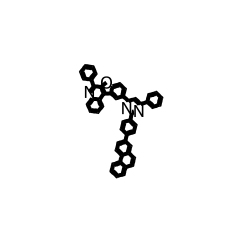 c1ccc(-c2cc(-c3ccc4oc5c(-c6ccccc6)nc6ccccc6c5c4c3)nc(-c3ccc(-c4ccc5c(ccc6ccccc65)c4)cc3)n2)cc1